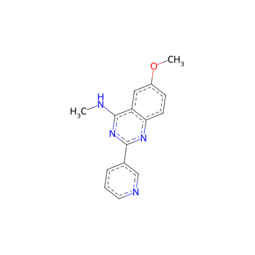 CNc1nc(-c2cccnc2)nc2ccc(OC)cc12